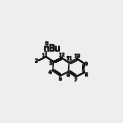 [CH2]CCCC(C)c1ccc2ccccc2c1